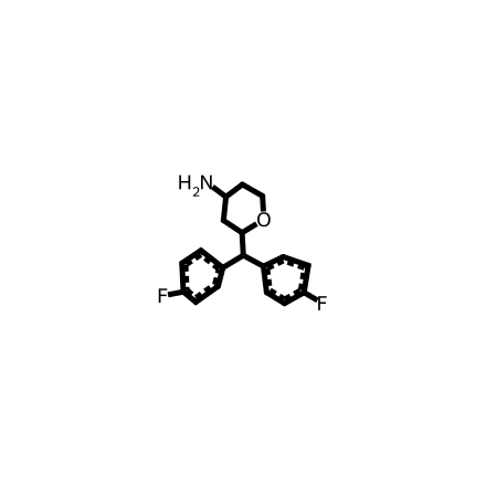 NC1CCOC(C(c2ccc(F)cc2)c2ccc(F)cc2)C1